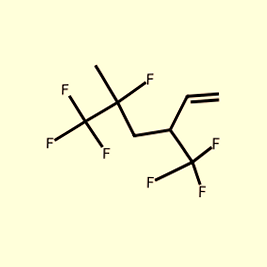 C=CC(CC(C)(F)C(F)(F)F)C(F)(F)F